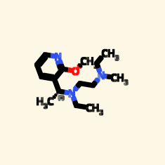 CCN(C)CCN(CC)[C@H](C)c1cccnc1OC